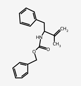 C=C(C)C(Cc1ccccc1)NC(=O)OCc1ccccc1